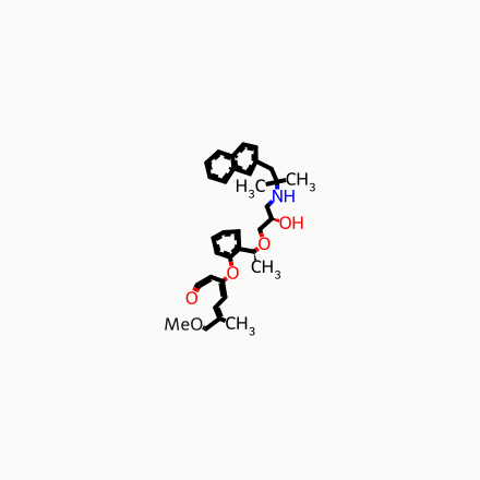 COC/C(C)=C/C=C(\C=C=O)Oc1ccccc1[C@@H](C)OC[C@H](O)CNC(C)(C)Cc1ccc2ccccc2c1